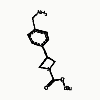 CC(C)(C)OC(=O)N1CC(c2ccc(CN)cc2)C1